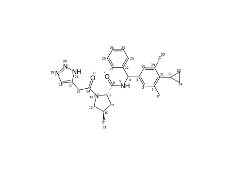 Cc1cc(C(NC(=O)[C@@H]2C[C@@H](F)CN2C(=O)Cc2cnn[nH]2)c2ccccc2)cc(F)c1C1CC1